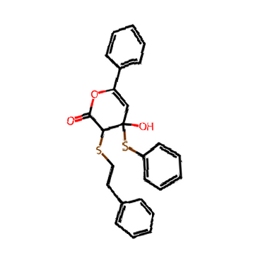 O=C1OC(c2ccccc2)=CC(O)(Sc2ccccc2)C1SCCc1ccccc1